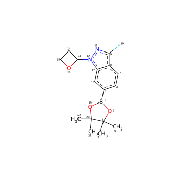 CC1(C)OB(c2ccc3c(F)nn(C4CCO4)c3c2)OC1(C)C